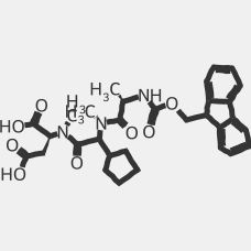 C[C@H](NC(=O)OCC1c2ccccc2-c2ccccc21)C(=O)N(C)C(C(=O)N(C)[C@@H](CC(=O)O)C(=O)O)C1CCCC1